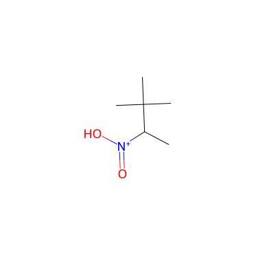 CC([N+](=O)O)C(C)(C)C